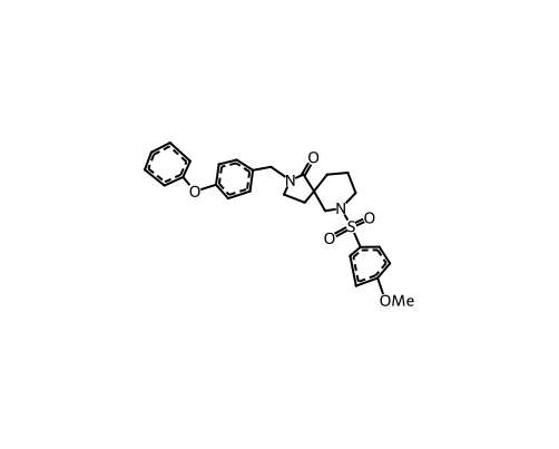 COc1ccc(S(=O)(=O)N2CCCC3(CCN(Cc4ccc(Oc5ccccc5)cc4)C3=O)C2)cc1